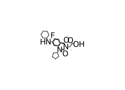 C[C@@H](C(=O)O)n1c(=O)c2cc(F)c(NC3CCCCC3)cc2n(C2CCCC2)c1=O